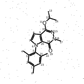 Cc1cc(C)c(-n2ccc3c(OC(C)C)nn(C)c(=O)c32)c(C)c1